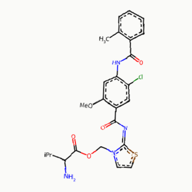 COc1cc(NC(=O)c2ccccc2C)c(Cl)cc1C(=O)N=c1sccn1COC(=O)C(N)C(C)C